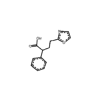 O=C(O)C(CCc1ncco1)c1ccccc1